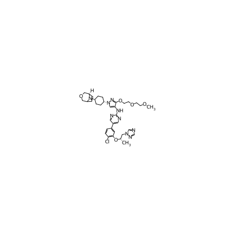 COCCOCCOc1nn([C@H]2CC[C@H](N3C4CC[C@@H]3COC4)CC2)cc1Nc1ncc(-c2ccc(Cl)c(O[C@@H](C)Cn3cncn3)c2)cn1